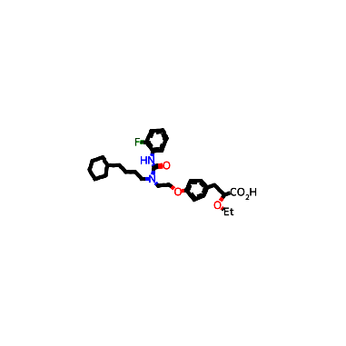 CCOC(Cc1ccc(OCCN(CCCCC2CCCCC2)C(=O)Nc2ccccc2F)cc1)C(=O)O